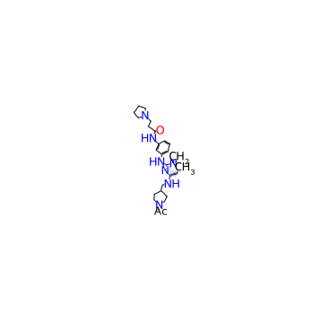 C=N/C(=N\C(=C/C)NCC1CCN(C(C)=O)CC1)Nc1cccc(NC(=O)CCN2CCCC2)c1